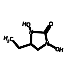 CCC1CN(O)C(=O)N1O